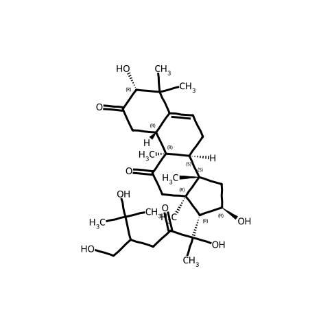 CC(C)(O)C(CO)CC(=O)C(C)(O)[C@H]1[C@H](O)C[C@@]2(C)[C@@H]3CC=C4[C@@H](CC(=O)[C@H](O)C4(C)C)[C@]3(C)C(=O)C[C@]12C